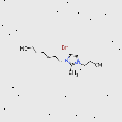 Cc1n(CCC#N)cc[n+]1CCCCCCC#N.[Br-]